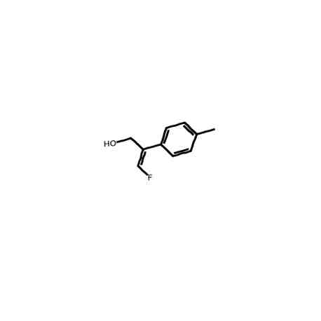 Cc1ccc(/C(=C\F)CO)cc1